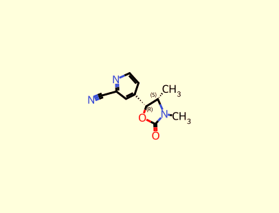 C[C@H]1[C@@H](c2ccnc(C#N)c2)OC(=O)N1C